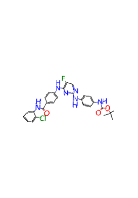 CC(C)(C)OC(=O)Nc1ccc(Nc2ncc(F)c(Nc3ccc(C(=O)Nc4ccccc4Cl)cc3)n2)cc1